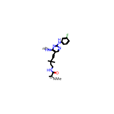 CCCNc1nc(Nc2cccc(F)c2)ncc1C#CC(C)(C)CCNC(=O)[C@H](C)NC